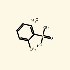 Cc1ccccc1P(=O)(O)O.O